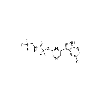 O=C(NCC(F)(F)F)C1(Oc2cncc(-c3c[nH]c4ncc(Cl)cc34)n2)CC1